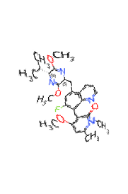 COC1=N[C@H](C(C)C)C(OC)=N[C@H]1Cc1cc(F)c(-c2c(OC)cc(C)n(C)c2=O)c2ncccc12